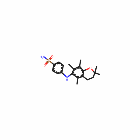 Cc1c(C)c2c(c(C)c1Nc1ccc(S(N)(=O)=O)cc1)CCC(C)(C)O2